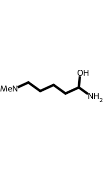 CNCCCCC(N)O